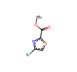 CC(C)(C)OC(=O)c1nc(Br)cs1